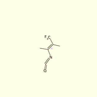 C/C(N=C=O)=C(/C)C(F)(F)F